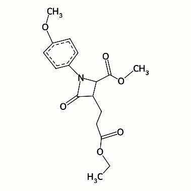 CCOC(=O)CCC1C(=O)N(c2ccc(OC)cc2)C1C(=O)OC